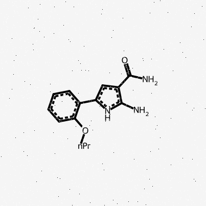 CCCOc1ccccc1-c1cc(C(N)=O)c(N)[nH]1